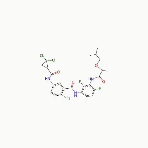 CC(C)COC(C)C(=O)Nc1c(F)ccc(NC(=O)c2cc(NC(=O)C3CC3(Cl)Cl)ccc2Cl)c1F